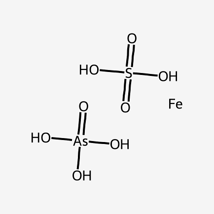 O=S(=O)(O)O.O=[As](O)(O)O.[Fe]